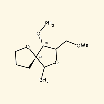 BC1OC(COC)[C@@H](OP)[C@]12CCCO2